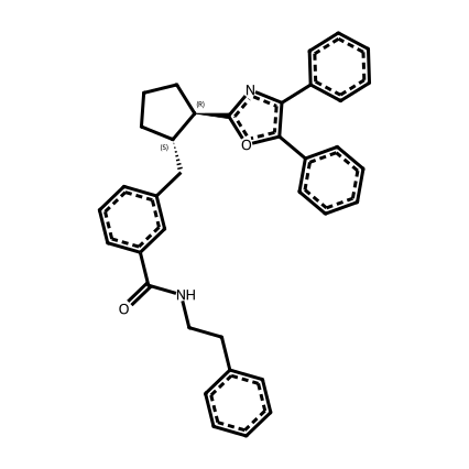 O=C(NCCc1ccccc1)c1cccc(C[C@@H]2CCC[C@H]2c2nc(-c3ccccc3)c(-c3ccccc3)o2)c1